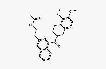 COc1ccc2c(c1OC)CCN(C(=O)c1nc(CCNC(C)=O)nc3ccccc13)C2